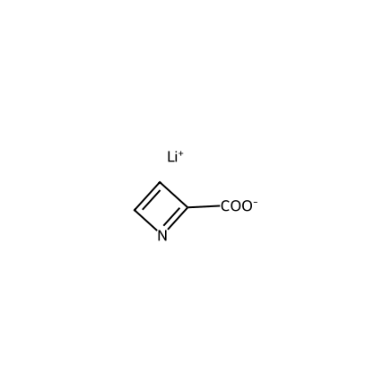 O=C([O-])C1=NC=C1.[Li+]